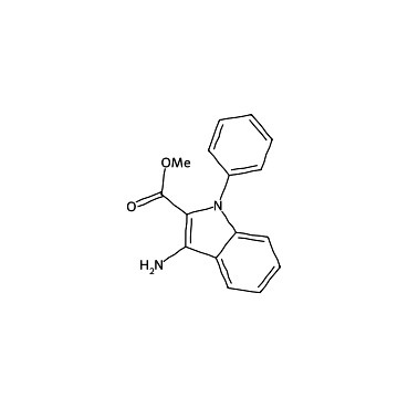 COC(=O)c1c(N)c2ccccc2n1-c1ccccc1